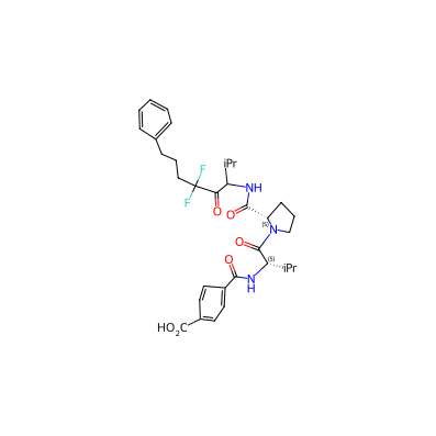 CC(C)C(NC(=O)[C@@H]1CCCN1C(=O)[C@@H](NC(=O)c1ccc(C(=O)O)cc1)C(C)C)C(=O)C(F)(F)CCCc1ccccc1